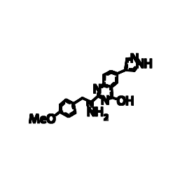 COc1ccc(C[C@@H](N)c2nc(O)c3cc(-c4cn[nH]c4)ccc3n2)cc1